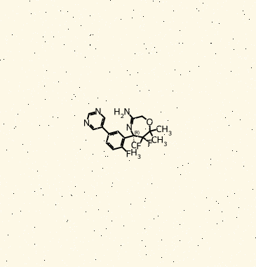 CC1(C)OCC(N)=N[C@](C)(c2cc(-c3cncnc3)ccc2F)C1(F)F